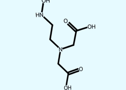 O=C(O)CN(CCNO)CC(=O)O